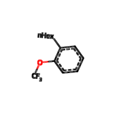 CCCCCCc1ccccc1OC(F)(F)F